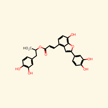 O=C(/C=C/c1ccc(O)c2oc(-c3ccc(O)c(O)c3)cc12)OC(Cc1ccc(O)c(O)c1)C(=O)O